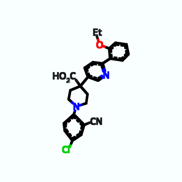 CCOc1ccccc1-c1ccc(C2(C(=O)O)CCN(c3ccc(Cl)cc3C#N)CC2)cn1